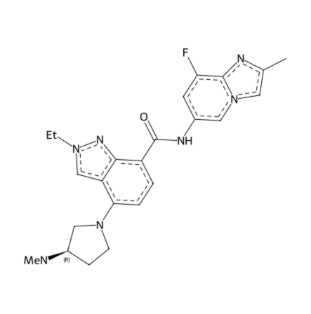 CCn1cc2c(N3CC[C@@H](NC)C3)ccc(C(=O)Nc3cc(F)c4nc(C)cn4c3)c2n1